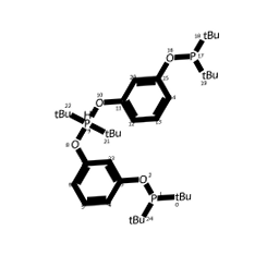 CC(C)(C)P(Oc1cccc(O[PH](Oc2cccc(OP(C(C)(C)C)C(C)(C)C)c2)(C(C)(C)C)C(C)(C)C)c1)C(C)(C)C